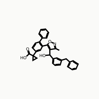 Cc1noc(-c2cc(C3(C(=O)O)CC3)ccc2-c2ccccc2)c1C(O)c1cccc(Cc2ccccc2)c1